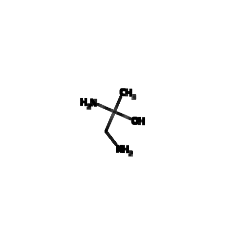 CC(N)(O)CN